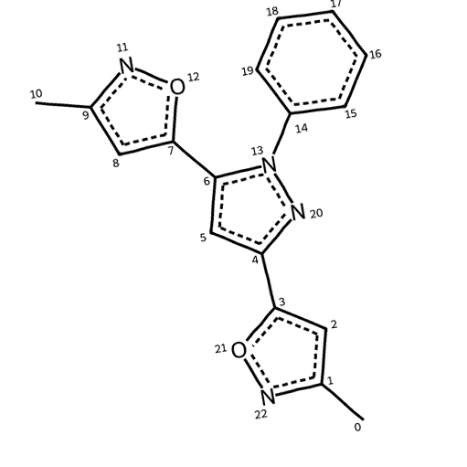 Cc1cc(-c2cc(-c3cc(C)no3)n(-c3ccccc3)n2)on1